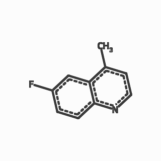 Cc1ccnc2ccc(F)cc12